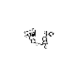 O=C(c1ccccc1)c1ccc2c(c1)sc(=O)n2CCOc1ccc(CC(NC(=O)C(F)(F)F)C(=O)O)cc1